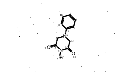 CC(C)N1C(=O)CN(c2ccccc2)CC1=O